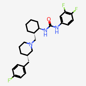 O=C(Nc1ccc(F)c(F)c1)N[C@@H]1CCCC[C@H]1CN1CCC[C@@H](Cc2ccc(F)cc2)C1